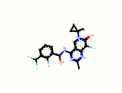 Cc1nc(NC(O)c2cccc(C(F)F)c2F)c2cn(C3(C)CC3)c(=O)c(F)c2n1